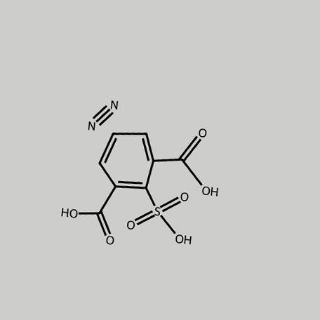 N#N.O=C(O)c1cccc(C(=O)O)c1S(=O)(=O)O